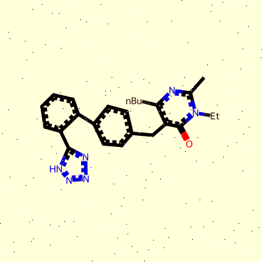 CCCCc1nc(C)n(CC)c(=O)c1Cc1ccc(-c2ccccc2-c2nnn[nH]2)cc1